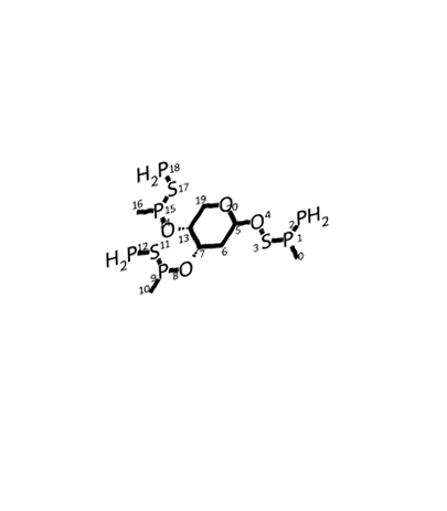 CP(P)SOC1C[C@H](OP(C)SP)[C@H](OP(C)SP)CO1